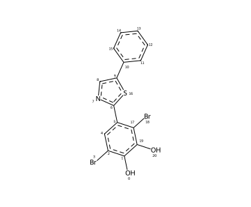 Oc1c(Br)cc(-c2ncc(-c3ccccc3)s2)c(Br)c1O